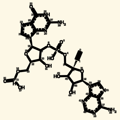 C#C[C@]1(COP(=O)(O)OC2C(O)[C@@H](CO[PH](=O)O)O[C@H]2n2cnc3c(=O)[nH]c(N)nc32)O[C@@H](n2cnc3c(N)ncnc32)C(O)C1O